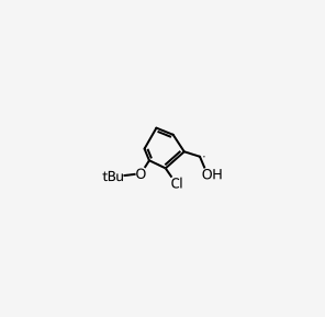 CC(C)(C)Oc1cccc([CH]O)c1Cl